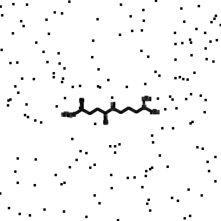 CCCCCCCC(=O)CCC(=O)NCCCN(CCCC)CCCC